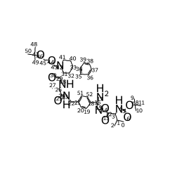 CC(C)[C@H](NC(=O)OC(C)(C)C)C(=O)O/N=C(\N)c1ccc(CNC(=O)[C@H](C)NC(=O)[C@H]2C[C@@H](c3ccccc3)CCN2COCOC(C)(C)C)cc1